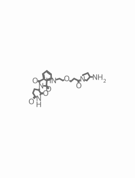 NC1CCN(C(=O)CCOCCNc2cccc3c2C(=O)N(C2CCC(=O)NC2=O)C3=O)C1